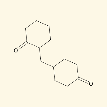 O=C1CCC(CC2CCCCC2=O)CC1